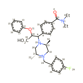 CCN(CC)C(=O)c1ccc(C(C(Oc2ccccc2)C(=O)O)N2C[C@@H](C)N(Cc3ccc(F)cc3)C[C@@H]2C)cc1